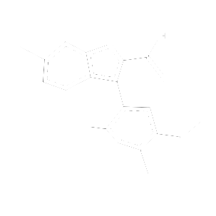 COc1cc(-c2c(C(=O)O)sc3cc(F)ccc23)c(F)cc1F